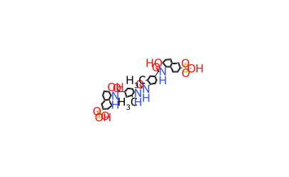 Cc1cc(C(=O)Nc2c(O)ccc3cc(S(=O)(=O)O)ccc23)ccc1NC(=O)Nc1ccc(C(=O)Nc2c(O)ccc3cc(S(=O)(=O)O)ccc23)cc1C